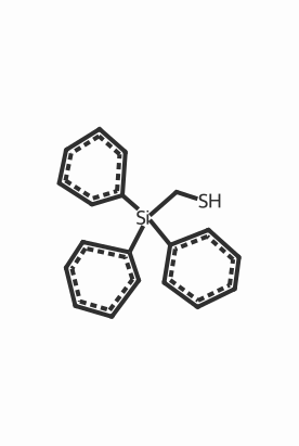 SC[Si](c1ccccc1)(c1ccccc1)c1ccccc1